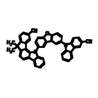 CC1(C)c2ccc(C#N)cc2-c2c1ccc1c3ccccc3n(-c3ccc4oc5ccc(-n6c7ccccc7c7cc(C#N)ccc76)cc5c4c3)c21